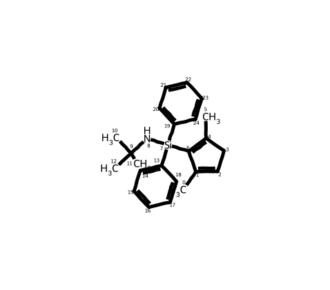 CC1=CCC(C)=C1[Si](NC(C)(C)C)(c1ccccc1)c1ccccc1